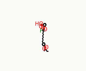 CCCC(C)OC(=O)c1ccc(CCCCCCCC[C@@H](F)C(=O)Oc2ccccc2C(=O)O)cc1